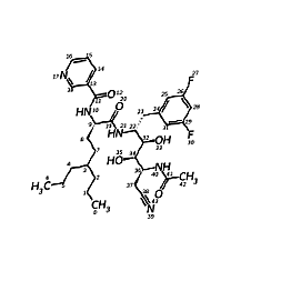 CCCC(CCC)CC[C@@H](NC(=O)c1cccnc1)C(=O)N[C@H](Cc1cc(F)cc(F)c1)[C@@H](O)[C@H](O)[C@H](CC#N)NC(C)=O